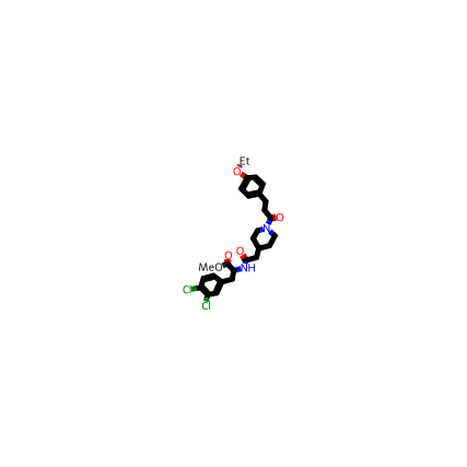 CCOc1ccc(CCC(=O)N2CCC(CC(=O)NC(Cc3ccc(Cl)c(Cl)c3)C(=O)OC)CC2)cc1